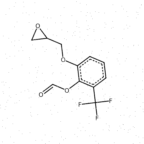 O=COc1c(OCC2CO2)cccc1C(F)(F)F